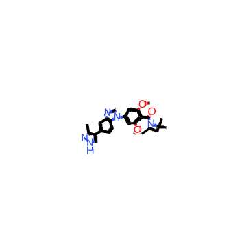 COc1cc(-n2cnc3cc(-c4c[nH]nc4C)ccc32)cc(OC)c1C(=O)N1C(C)CC1(C)C